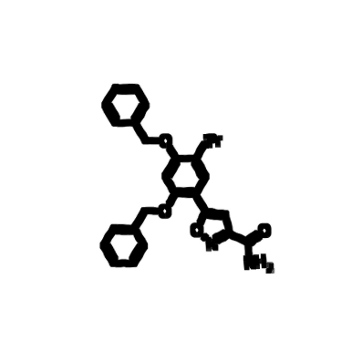 CC(C)c1cc(-c2cc(C(N)=O)no2)c(OCc2ccccc2)cc1OCc1ccccc1